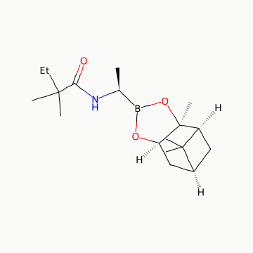 CCC(C)(C)C(=O)N[C@@H](C)B1O[C@@H]2C[C@@H]3C[C@@H](C3(C)C)[C@]2(C)O1